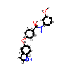 COc1cccc(NC(=O)c2ccc(Oc3ccc4[nH]ccc4c3)cc2)c1